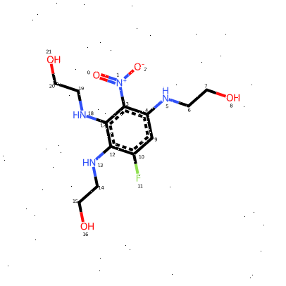 O=[N+]([O-])c1c(NCCO)cc(F)c(NCCO)c1NCCO